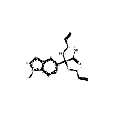 C=CCNC(NCC=C)(C(=O)O)c1ccc2c(cnn2C)c1